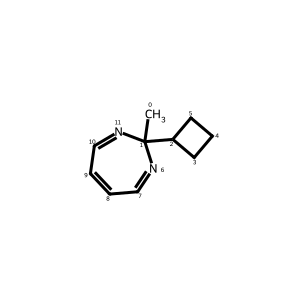 CC1(C2CCC2)N=CC=CC=N1